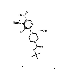 CC(C)(C)OC(=O)N1CCN(c2ncc([N+](=O)[O-])c(C#N)c2Br)[C@H](CO)C1